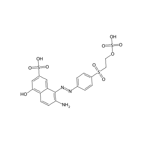 Nc1ccc2c(O)cc(S(=O)(=O)O)cc2c1/N=N/c1ccc(S(=O)(=O)CCOS(=O)(=O)O)cc1